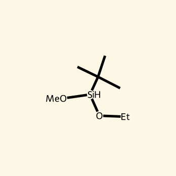 CCO[SiH](OC)C(C)(C)C